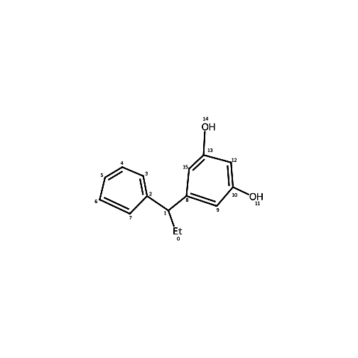 CCC(c1ccccc1)c1cc(O)cc(O)c1